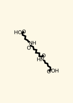 O=C(O)CCCCCNC(=O)CCCCCCC(=O)NCCCCCC(=O)O